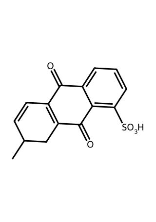 CC1C=CC2=C(C1)C(=O)c1c(cccc1S(=O)(=O)O)C2=O